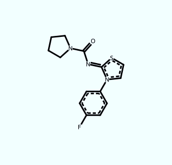 O=C(/N=c1\sccn1-c1ccc(F)cc1)N1CCCC1